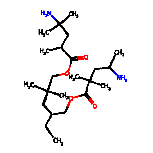 CCC(COC(=O)C(C)(C)CC(C)N)CC(C)(C)COC(=O)C(C)CC(C)(C)N